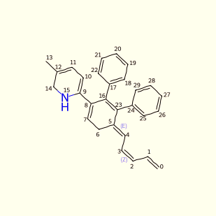 C=C/C=C\C=C1/CC=C(C2=CC=C(C)CN2)C(c2ccccc2)=C1c1ccccc1